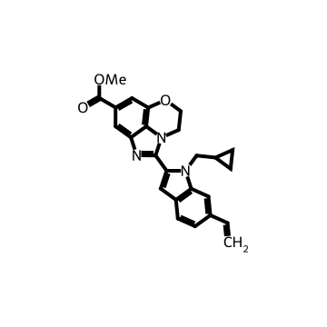 C=Cc1ccc2cc(-c3nc4cc(C(=O)OC)cc5c4n3CCO5)n(CC3CC3)c2c1